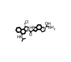 CC(C)Nc1cc2c(c3ccccc13)[C@H](CCl)CN2C(=O)c1cc2c3c(ccc2[nH]1)N(C(N)O)CC3